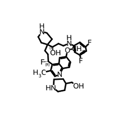 COc1ccc2ncc(C)c([C@H](F)CCC3([C@@H](O)CCNc4cc(F)cc(F)c4)CCNCC3)c2c1.OCC1CCNCC1